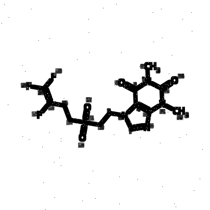 Cn1c(=O)c2c(ncn2CCS(=O)(=O)CCC(F)=C(F)F)n(C)c1=O